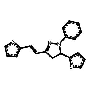 C(=Cc1cccs1)C1=NN(c2ccccc2)C(c2cccs2)C1